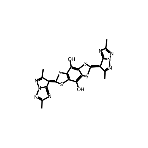 Cc1nc2c(=C3Sc4c(O)c5c(c(O)c4S3)SC(=c3c(C)nn4nc(C)nc34)S5)c(C)nn2n1